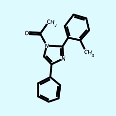 CC(=O)n1cc(-c2ccccc2)nc1-c1ccccc1C